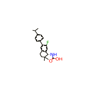 CC(C)c1ccc(-c2cc3c(cc2F)[C@H](NC(=O)O)C(C)(C)CC3)cc1